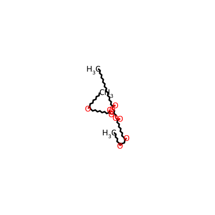 CCCCCCCCCCCCCCCCCC(=O)OCC(COC(=O)CCCCCCCC1OC1CC1OC1CCCCC)OC(=O)CCCCCCCC1OC1CCCCCCCC